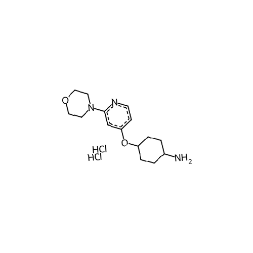 Cl.Cl.NC1CCC(Oc2ccnc(N3CCOCC3)c2)CC1